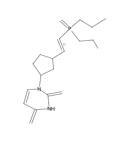 C=C1C=CN(C2CCC(/C=C/P(=C)(CCC)CCC)C2)C(=C)N1